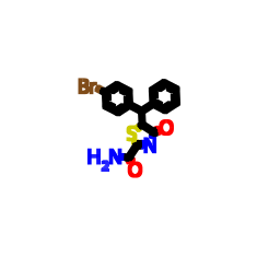 NC(=O)C1=NC(=O)C(C(c2ccccc2)c2ccc(Br)cc2)S1